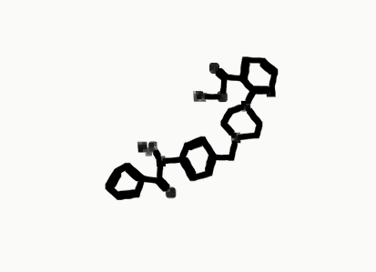 CC(C)OC(=O)c1cccnc1N1CCN(Cc2ccc(N(C)C(=O)c3ccccc3)cc2)CC1